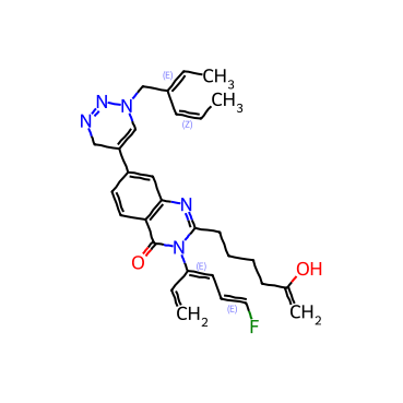 C=C/C(=C\C=C\F)n1c(CCCCC(=C)O)nc2cc(C3=CN(CC(/C=C\C)=C/C)N=NC3)ccc2c1=O